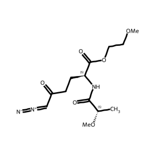 COCCOC(=O)[C@H](CCC(=O)C=[N+]=[N-])NC(=O)[C@H](C)OC